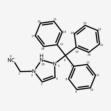 N#CCN1C=CN(C(c2ccccc2)(c2ccccc2)c2ccccc2)N1